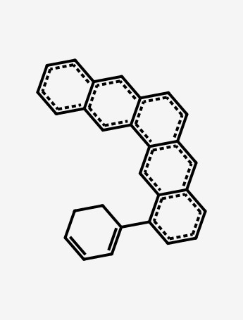 C1=CCCC(c2cccc3cc4ccc5cc6ccccc6cc5c4cc23)=C1